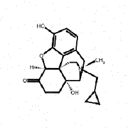 C[N@+]1(CC2CC2)CC[C@@]23c4c5ccc(O)c4O[C@@H]2C(=O)CC[C@]3(O)C1C5